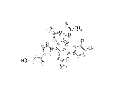 CCCC(=O)c1cn(C2C(OC(C)=O)[C@@H](Sc3ccc(Cl)c(Cl)c3)OC(COC(C)=O)[C@@H]2OC(C)=O)nn1